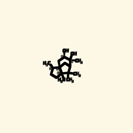 C[C@@H]1CC[C@@]2(N)C(C)(C)C3C[C@@]12C[C@H](O)[C@@]3(C)O